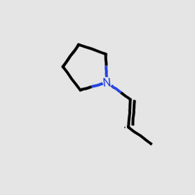 C[C]=CN1CCCC1